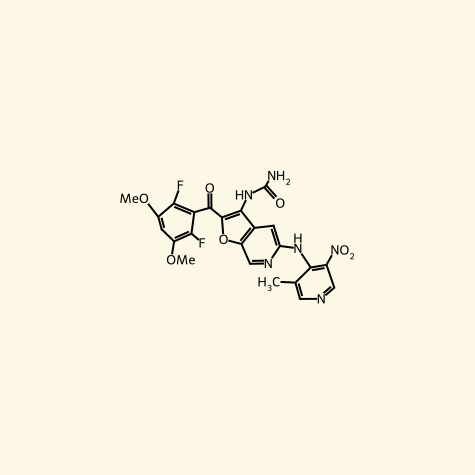 COc1cc(OC)c(F)c(C(=O)c2oc3cnc(Nc4c(C)cncc4[N+](=O)[O-])cc3c2NC(N)=O)c1F